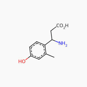 Cc1cc(O)ccc1C(N)CC(=O)O